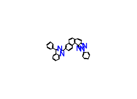 c1ccc(-c2nc(-c3ccc4c(ccc5ccc6nn(-c7ccccc7)nc6c54)c3)nc3ccccc23)cc1